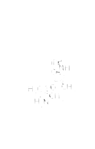 CC(COCC(C)(C)CN)CC(=O)NC(C)C